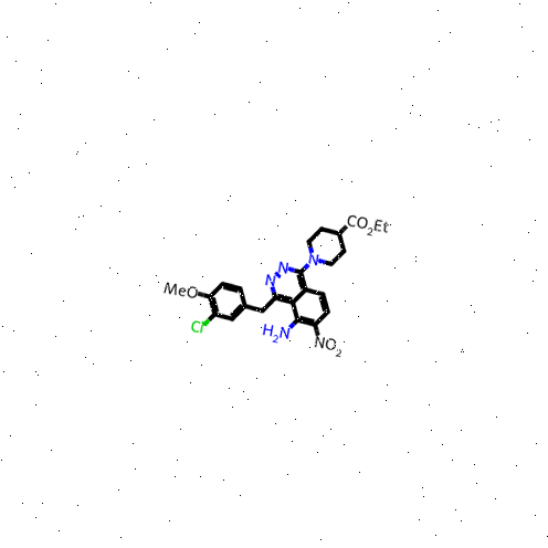 CCOC(=O)C1CCN(c2nnc(Cc3ccc(OC)c(Cl)c3)c3c(N)c([N+](=O)[O-])ccc23)CC1